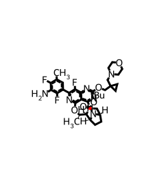 Cc1cc(-c2nc3c4c(nc(OCC5(CN6CCOCC6)CC5)nc4c2F)N2C[C@H]4CC[C@@H]([C@H]2[C@H](C)O3)N4C(=O)OC(C)(C)C)c(F)c(N)c1F